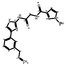 C=NCc1cccc(-c2csc(NC(=O)CNC(=O)c3ccn(C(C)(C)C)n3)n2)c1